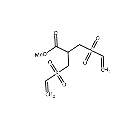 C=CS(=O)(=O)CC(CS(=O)(=O)C=C)C(=O)OC